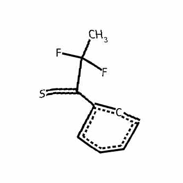 CC(F)(F)C(=S)c1ccccc1